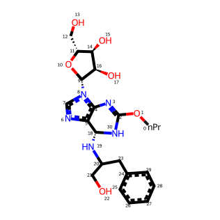 CCCOC1=Nc2c(ncn2[C@@H]2O[C@H](CO)[C@@H](O)[C@H]2O)[C@@H](NC(CO)Cc2ccccc2)N1